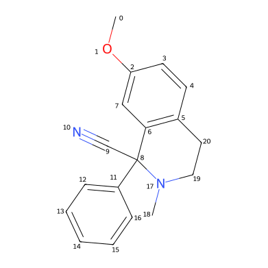 COc1ccc2c(c1)C(C#N)(c1ccccc1)N(C)CC2